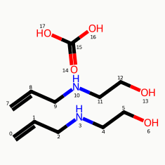 C=CCNCCO.C=CCNCCO.O=C(O)O